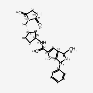 Cc1nn(-c2ccccc2)c2sc(C(=O)N[C@H]3CC[C@H](CN4C(=O)CNC4=O)C3)cc12